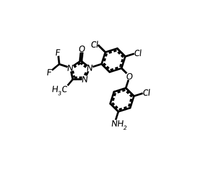 Cc1nn(-c2cc(Oc3ccc(N)cc3Cl)c(Cl)cc2Cl)c(=O)n1C(F)F